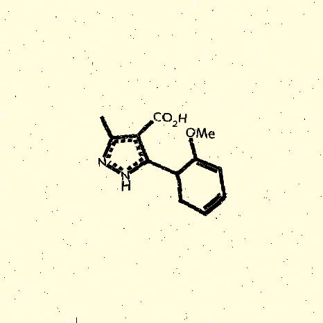 COC1=CC=CCC1c1[nH]nc(C)c1C(=O)O